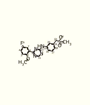 COc1ccc(F)cc1-c1ncnc(Nc2cccc(CS(C)(=O)=O)c2)n1